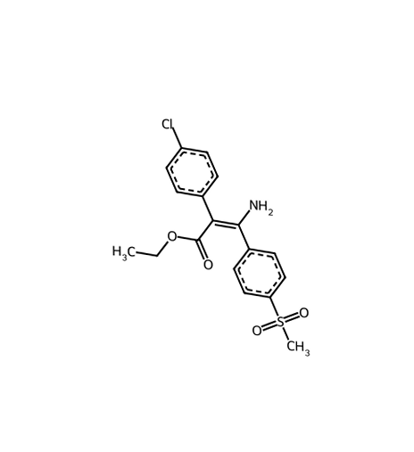 CCOC(=O)/C(=C(/N)c1ccc(S(C)(=O)=O)cc1)c1ccc(Cl)cc1